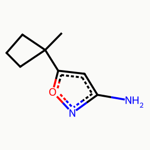 CC1(c2cc(N)no2)CCC1